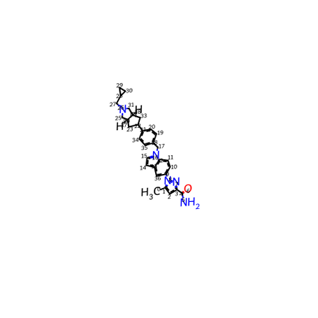 Cc1cc(C(N)=O)nn1-c1ccc2c(ccn2Cc2ccc(C3C[C@@H]4CN(CC5CC5)C[C@@H]4C3)cc2)c1